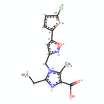 CCc1nc(C(=O)O)c(C)n1Cc1cc(-c2ccc(Cl)s2)on1